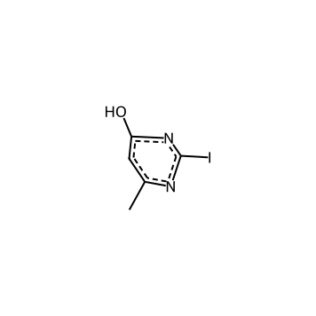 Cc1cc(O)nc(I)n1